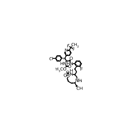 C#CC1CCCS(=O)(=O)NC(CCc2c(F)cccc2NC(=O)[C@@H](NC(=O)OC)[C@@H](c2ccc(Cl)cc2)c2ccc(C(C)(F)F)nc2)CN1